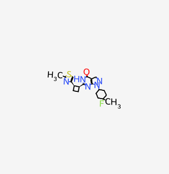 Cc1nc([C@@H]2CC[C@@H]2c2nc3c(cnn3C3CCC(C)(F)CC3)c(=O)[nH]2)cs1